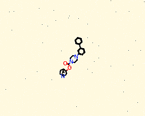 O=C(OC1CCN2CCC1CC2)N1CCN(c2cccc(-c3ccccc3)c2)CC1